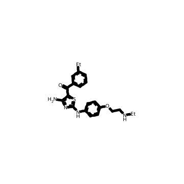 CCNCCOc1ccc(Nc2nc(N)c(C(=O)c3cccc(CC)c3)s2)cc1